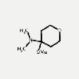 COC1(N(C)C)CCOCC1